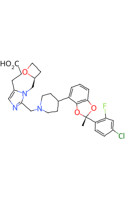 C[C@]1(c2ccc(Cl)cc2F)Oc2cccc(C3CCN(Cc4ncc(CCC(=O)O)n4C[C@@H]4CCO4)CC3)c2O1